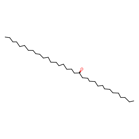 CCCCCCCCCCCCCCCCCCCC(=O)CCCCCCCCCCCCCC